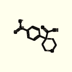 O=C(O)C1(c2ccc([N+](=O)[O-])cc2)CCOCC1